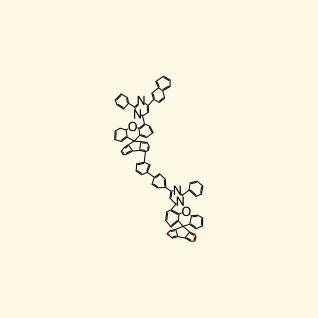 C1=CCC2Oc3c(-c4cc(-c5ccc6ccccc6c5)nc(-c5ccccc5)n4)cccc3C3(C2=C1)c1ccccc1-c1c(-c2cccc(-c4ccc(-c5cc(-c6cccc7c6Oc6ccccc6C76c7ccccc7-c7ccccc76)nc(-c6ccccc6)n5)cc4)c2)cccc13